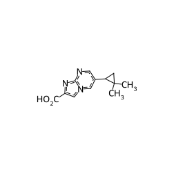 CC1(C)CC1c1cnc2nc(C(=O)O)cn2c1